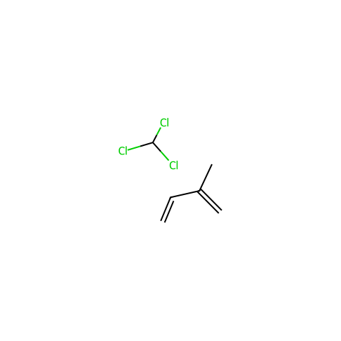 C=CC(=C)C.ClC(Cl)Cl